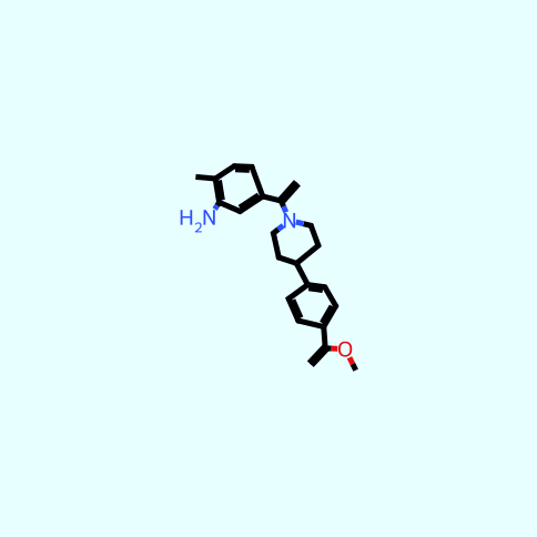 C=C(OC)c1ccc(C2CCN(C(=C)c3ccc(C)c(N)c3)CC2)cc1